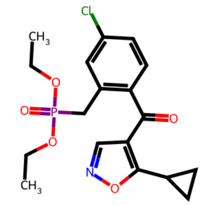 CCOP(=O)(Cc1cc(Cl)ccc1C(=O)c1cnoc1C1CC1)OCC